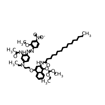 CCCCCCCCCCCCCCCC(=O)Nc1cc(OCCN(CC)c2ccc(N=Nc3ccc([N+](=O)[O-])cc3OC)c(NC(C)=O)c2)c2ccccc2c1OC(OC)OCC